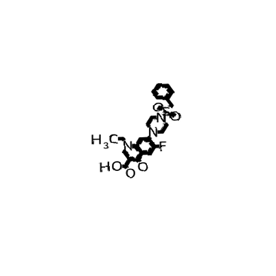 CCn1cc(C(=O)O)c(=O)c2cc(F)c(N3CCN(S(=O)(=O)Cc4ccccc4)CC3)cc21